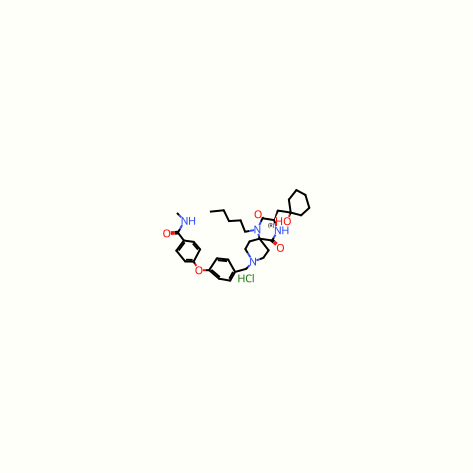 CCCCCN1C(=O)[C@@H](CC2(O)CCCCC2)NC(=O)C12CCN(Cc1ccc(Oc3ccc(C(=O)NC)cc3)cc1)CC2.Cl